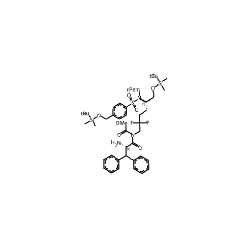 CCCCCN([C@@H](CCC(F)(F)CN(C(=O)OC)C(=O)[C@@H](N)C(c1ccccc1)c1ccccc1)CO[Si](C)(C)C(C)(C)C)S(=O)(=O)c1ccc(CO[Si](C)(C)C(C)(C)C)cc1